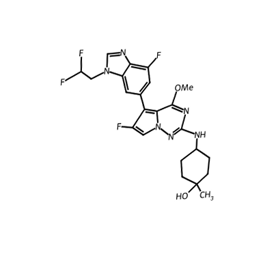 COc1nc(NC2CCC(C)(O)CC2)nn2cc(F)c(-c3cc(F)c4ncn(CC(F)F)c4c3)c12